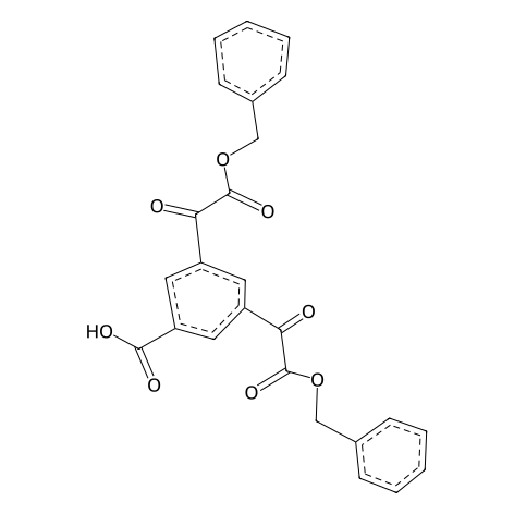 O=C(OCc1ccccc1)C(=O)c1cc(C(=O)O)cc(C(=O)C(=O)OCc2ccccc2)c1